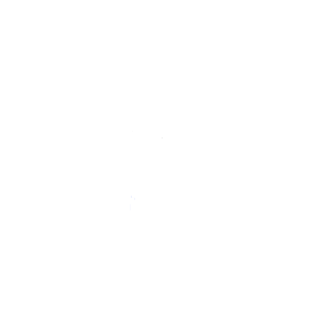 Cl.OC1CCNCCC1(F)F